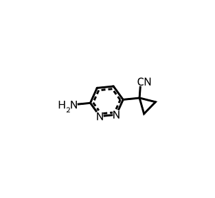 N#CC1(c2ccc(N)nn2)CC1